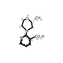 C[C@@H]1CN(c2ncccc2C(=O)O)CCO1